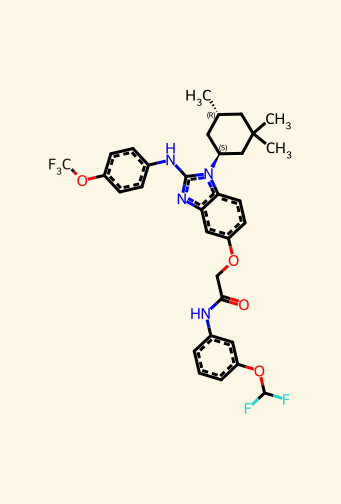 C[C@H]1C[C@H](n2c(Nc3ccc(OC(F)(F)F)cc3)nc3cc(OCC(=O)Nc4cccc(OC(F)F)c4)ccc32)CC(C)(C)C1